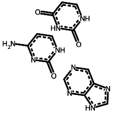 Nc1cc[nH]c(=O)n1.O=c1cc[nH]c(=O)[nH]1.c1ncc2nc[nH]c2n1